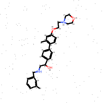 Cc1cccc(CNCC(O)c2ccc(-c3ccc(OCCN4CCOCC4)cc3C)cc2)c1